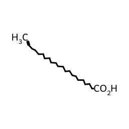 CC#CCCCCCCCCCCCCCCCCCCCC(=O)O